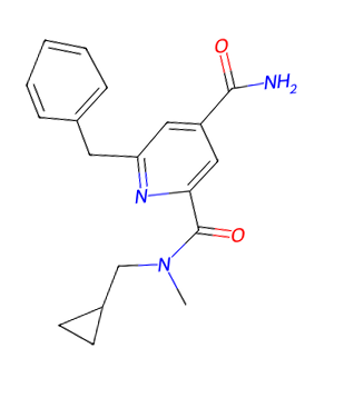 CN(CC1CC1)C(=O)c1cc(C(N)=O)cc(Cc2ccccc2)n1